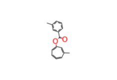 CC1=CC(OC(=O)c2cccc(C)c2)=CC=C=C1